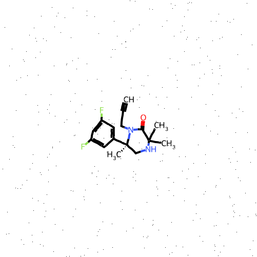 C#CCN1C(=O)C(C)(C)NC[C@@]1(C)c1cc(F)cc(F)c1